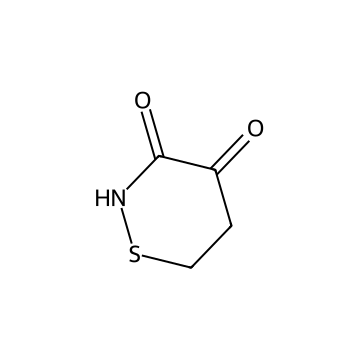 O=C1CCSNC1=O